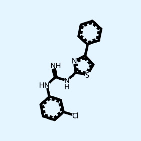 N=C(Nc1cccc(Cl)c1)Nc1nc(-c2ccccc2)cs1